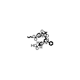 CCCCOC(=O)N1CCN(C(=O)[C@@H](NC(=O)c2cc(N3C[C@@H]4[C@H](C3)[C@H]4C(=O)O)nc(-c3ccccc3)n2)C(C)(C)C)CC1